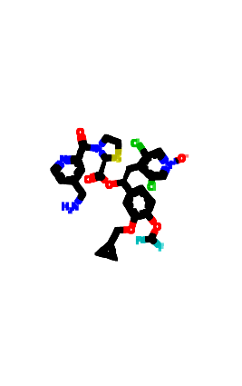 NCc1ccnc(C(=O)N2CCS[C@H]2C(=O)O[C@@H](Cc2c(Cl)c[n+]([O-])cc2Cl)c2ccc(OC(F)F)c(OCC3CC3)c2)c1